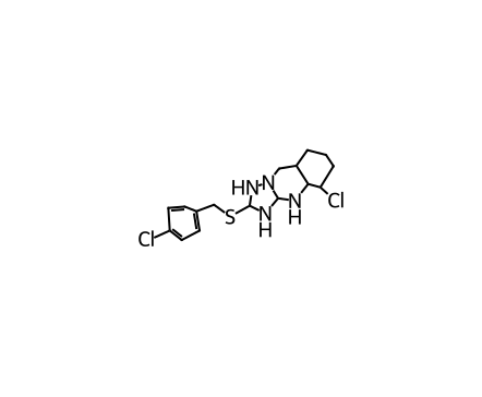 Clc1ccc(CSC2NC3NC4C(Cl)CCCC4CN3N2)cc1